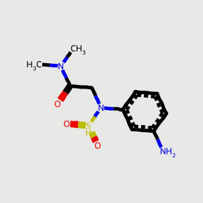 CN(C)C(=O)CN(c1cccc(N)c1)[SH](=O)=O